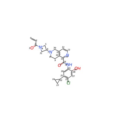 C=CC(=O)N1CC(N2CCc3c(ccnc3C(=O)Nc3cc(C4CC4)c(Cl)cc3O)C2)C1